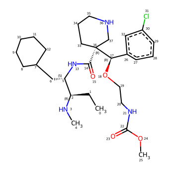 CC[C@@H](NC)[C@H](CC1CCCCC1)NC(=O)[C@]1([C@H](OCCNC(=O)OC)c2cccc(Cl)c2)CCCNC1